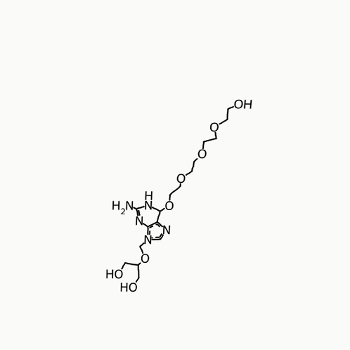 NC1=Nc2c(ncn2COC(CO)CO)C(OCCOCCOCCOCCO)N1